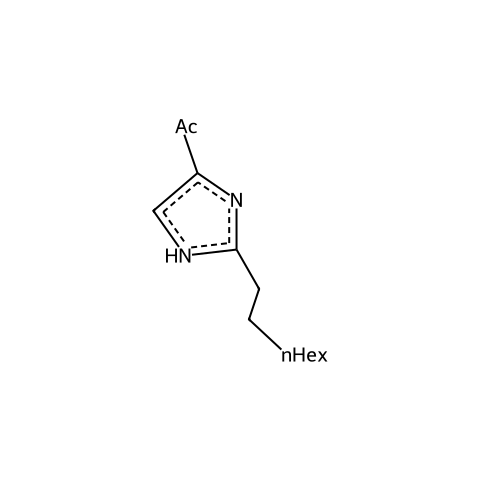 CCCCCCCCc1nc(C(C)=O)c[nH]1